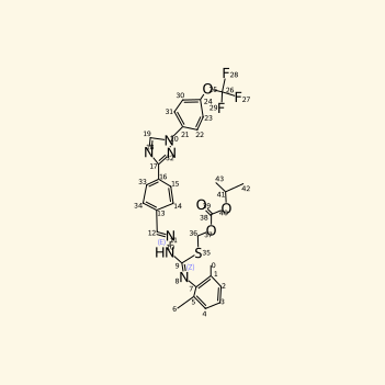 Cc1cccc(C)c1/N=C(/N/N=C/c1ccc(-c2ncn(-c3ccc(OC(F)(F)F)cc3)n2)cc1)SCOC(=O)OC(C)C